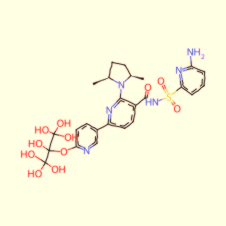 C[C@@H]1CC[C@H](C)N1c1nc(-c2ccc(OC(O)(C(O)(O)O)C(O)(O)O)nc2)ccc1C(=O)NS(=O)(=O)c1cccc(N)n1